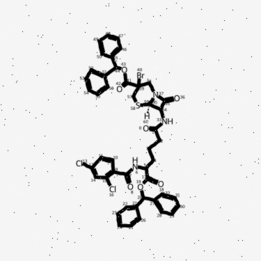 O=C(CCCC(NC(=O)c1ccc(Cl)cc1Cl)C(=O)OC(c1ccccc1)c1ccccc1)NC1C(=O)N2CC(Br)(C(=O)OC(c3ccccc3)c3ccccc3)CS[C@H]12